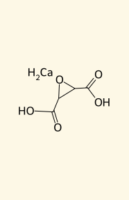 O=C(O)C1OC1C(=O)O.[CaH2]